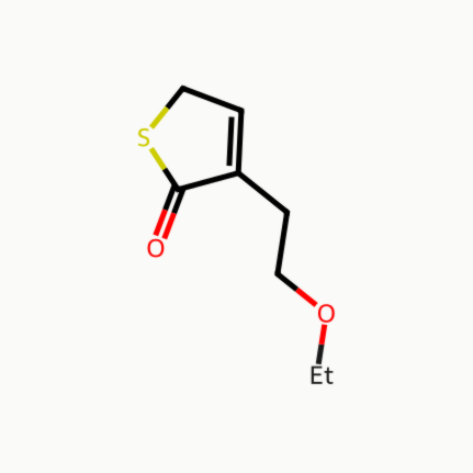 CCOCCC1=CCSC1=O